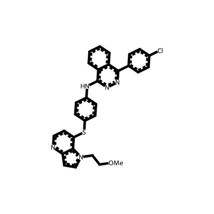 COCCn1ccc2nccc(Sc3ccc(Nc4nnc(-c5ccc(Cl)cc5)c5ccccc45)cc3)c21